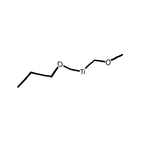 CCC[O][Ti][CH2]OC